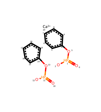 O=[PH]([O-])Oc1ccccc1.O=[PH]([O-])Oc1ccccc1.[Ca+2]